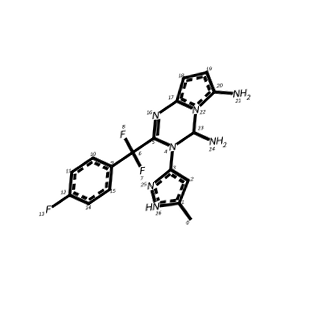 Cc1cc(N2C(C(F)(F)c3ccc(F)cc3)=Nc3ccc(N)n3C2N)n[nH]1